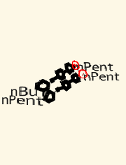 CCCCCOc1ccc(-c2ccc(C#C[C@H]3CC[C@H](CCCC)CC3)cc2)cc1.CCCCCOc1ccc(-c2ccc(C#C[C@H]3CC[C@H](CCCCC)CC3)cc2)cc1